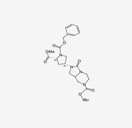 COC(=O)[C@H]1C[C@@H](N2CC3CN(C(=O)OC(C)(C)C)CCN3C2=O)CN1C(=O)OCc1ccccc1